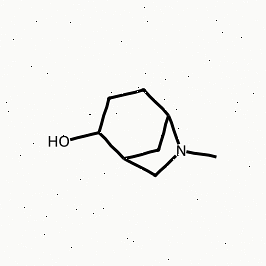 CN1CC2CC1CCC2O